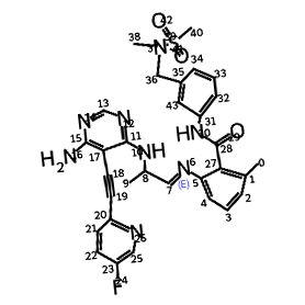 Cc1cccc(/N=C/C(C)Nc2ncnc(N)c2C#Cc2ccc(F)cn2)c1C(=O)Nc1cccc(CN(C)S(C)(=O)=O)c1